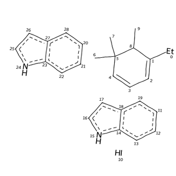 CCC1=CC=CC(C)(C)C1C.I.c1ccc2[nH]ccc2c1.c1ccc2[nH]ccc2c1